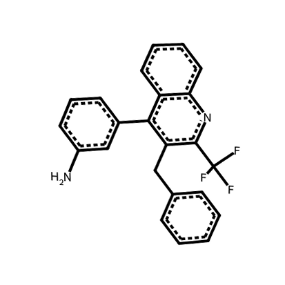 Nc1cccc(-c2c(Cc3ccccc3)c(C(F)(F)F)nc3ccccc23)c1